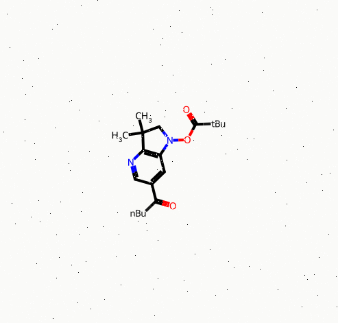 CCCCC(=O)c1cnc2c(c1)N(OC(=O)C(C)(C)C)CC2(C)C